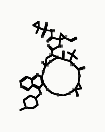 C=C[C@@H]1CC1(NC(=O)[C@@H]1C[C@@H]2CN1C(=O)C(C(C)(C)C)NC(=O)OC1C[C@@H]1CCCCCc1c(nc3ccncc3c1OC1CCN(C)CC1)O2)C(=O)NS(=O)(=O)C1(C)CC1